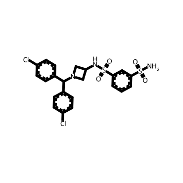 NS(=O)(=O)c1cccc(S(=O)(=O)NC2CN(C(c3ccc(Cl)cc3)c3ccc(Cl)cc3)C2)c1